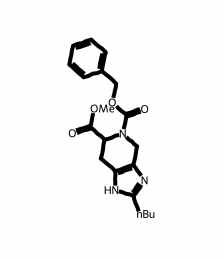 CCCCc1nc2c([nH]1)CC(C(=O)OC)N(C(=O)OCc1ccccc1)C2